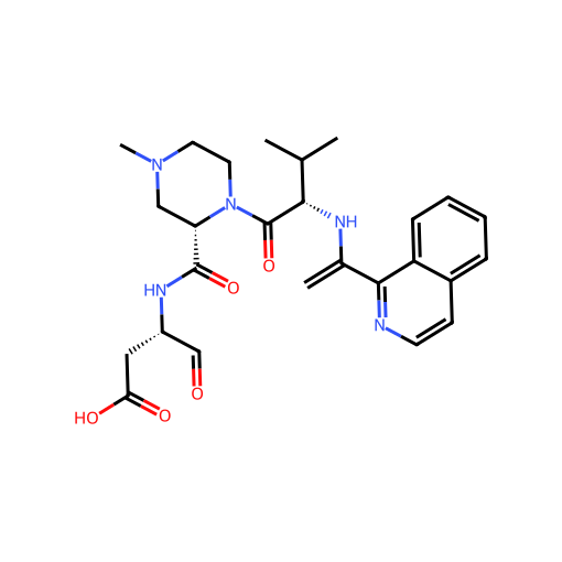 C=C(N[C@H](C(=O)N1CCN(C)C[C@H]1C(=O)N[C@H](C=O)CC(=O)O)C(C)C)c1nccc2ccccc12